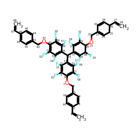 C=Cc1ccc(COc2c(F)c(F)c(C(C3=C(F)C(F)C(OCC4=CCC(C=C)C=C4)C(F)=C3F)c3c(F)c(F)c(OCc4ccc(C=C)cc4)c(F)c3F)c(F)c2F)cc1